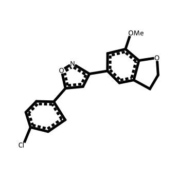 COc1cc(-c2cc(-c3ccc(Cl)cc3)on2)cc2c1OCC2